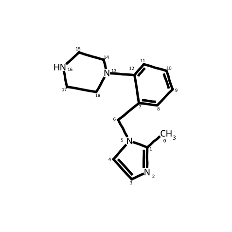 Cc1nccn1Cc1ccccc1N1CCNCC1